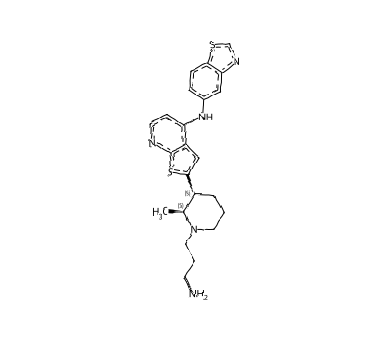 C[C@H]1[C@@H](c2cc3c(Nc4ccc5scnc5c4)ccnc3s2)CCCN1CCCN